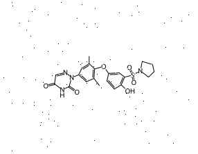 Cc1cc(-n2ncc(=O)[nH]c2=O)cc(C)c1Oc1ccc(O)c(S(=O)(=O)N2CCCC2)c1